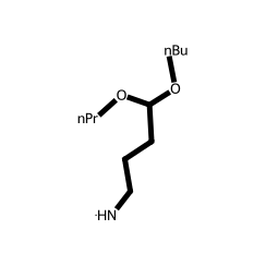 CCCCOC(CCC[NH])OCCC